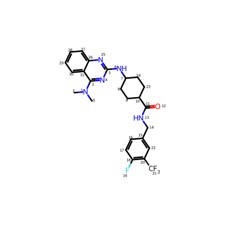 CN(C)c1nc(NC2CCC(C(=O)NCc3ccc(F)c(C(F)(F)F)c3)CC2)nc2ccccc12